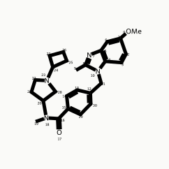 COc1ccc2c(c1)nc(C)n2Cc1ccc(C(=O)N(C)C2CCN(C3CCC3)C2)cc1